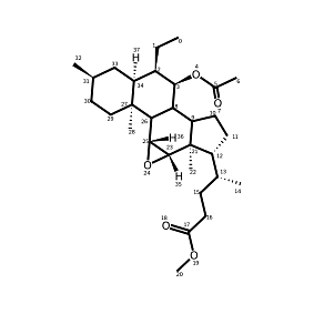 CC[C@H]1[C@@H](OC(C)=O)C2C3CC[C@H]([C@H](C)CCC(=O)OC)[C@@]3(C)[C@@H]3O[C@@H]3C2[C@@]2(C)CC[C@@H](C)C[C@@H]12